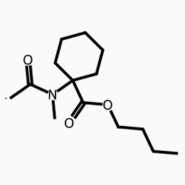 [CH2]C(=O)N(C)C1(C(=O)OCCCC)CCCCC1